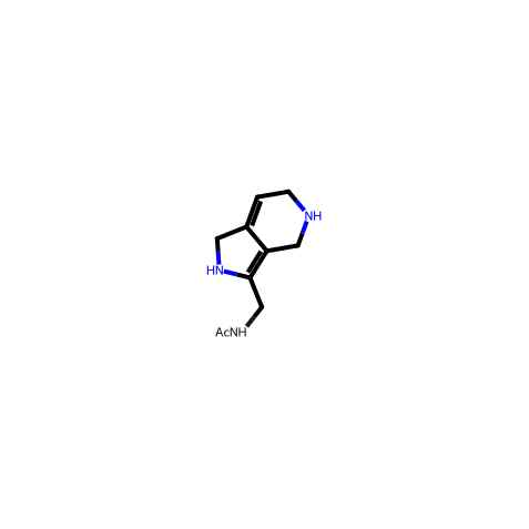 CC(=O)NCC1=C2CNCC=C2CN1